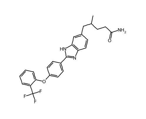 CC(CCC(N)=O)Cc1ccc2nc(-c3ccc(Oc4ccccc4C(F)(F)F)cc3)[nH]c2c1